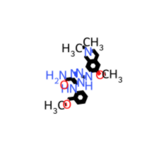 COCc1ccccc1Nc1nc(Nc2cc3c(cc2OC)CCN(C(C)C)C3)nnc1C(N)=O